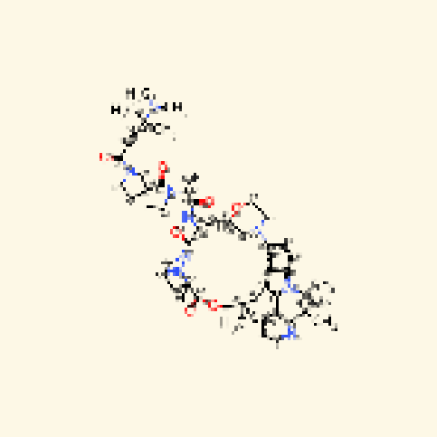 CO[C@@H](C)c1ncccc1-c1c2c3cc(ccc3n1CC(F)(F)F)N1CCO[C@@H](C[C@H](NC(=O)C(C(C)C)N3CC[C@@]4(CCN(C(=O)C#CC(C)(C)N(C)C)C4)C3=O)C(=O)N3CCC[C@H](N3)C(=O)OCC(C)(C)C2)C1